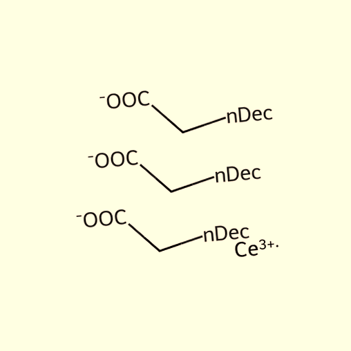 CCCCCCCCCCCC(=O)[O-].CCCCCCCCCCCC(=O)[O-].CCCCCCCCCCCC(=O)[O-].[Ce+3]